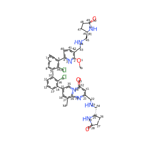 COc1nc(-c2cccc(-c3cccc(-c4cc(C)c5nc(CNC[C@@H]6CCC(=O)N6)cc(=O)n5c4)c3Cl)c2Cl)ccc1CNC[C@H]1CCC(=O)N1